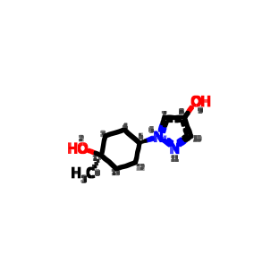 C[C@]1(O)CC[C@@H](n2cc(O)cn2)CC1